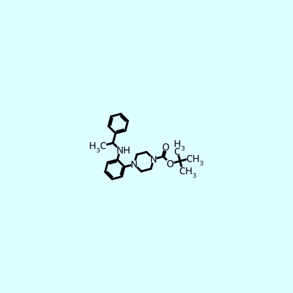 CC(Nc1ccccc1N1CCN(C(=O)OC(C)(C)C)CC1)c1ccccc1